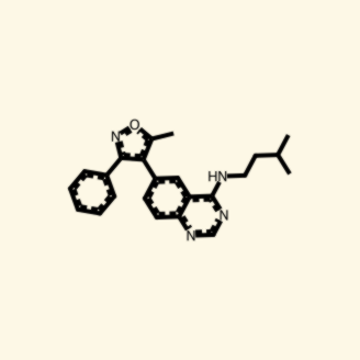 Cc1onc(-c2ccccc2)c1-c1ccc2ncnc(NCCC(C)C)c2c1